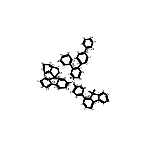 CC1(C)c2ccccc2-c2cccc(-c3ccc(N(c4ccc(-c5ccc(-c6ccccc6)cc5)c(-c5ccccc5)c4)c4ccc5c(c4)C4(CCc6ccccc64)c4ccccc4-5)cc3)c21